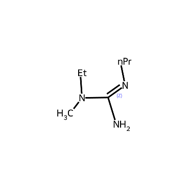 CCC/N=C(/N)N(C)CC